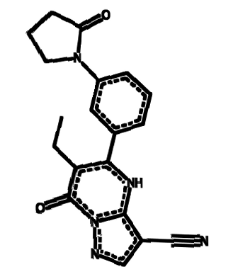 CCc1c(-c2cccc(N3CCCC3=O)c2)[nH]c2c(C#N)cnn2c1=O